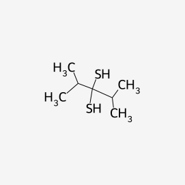 CC(C)C(S)(S)C(C)C